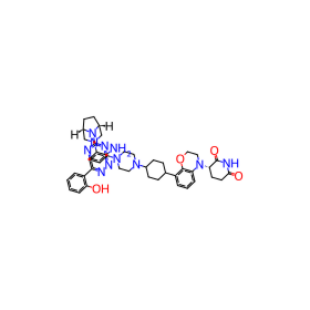 Nc1nnc(-c2ccccc2O)cc1N1C[C@H]2CC[C@@H](C1)N2c1nccc(N2CCN(C3CCC(c4cccc5c4OCCN5[C@H]4CCC(=O)NC4=O)CC3)CC2)n1